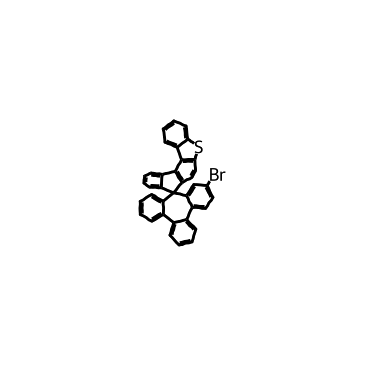 Brc1ccc2c(c1)C1(c3ccccc3-c3ccccc3-2)c2ccccc2-c2c1ccc1sc3ccccc3c21